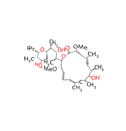 CO/C1=C\C(C)=C\[C@@H](C)[C@@H](O)[C@@H](C)C/C(C)=C/C=C/[C@H](OC)[C@@H]([C@@H](C)[C@@H](O)[C@H](C)[C@H]2C[C@@H](O)[C@H](C)[C@@H](C(C)C)O2)OC1=O